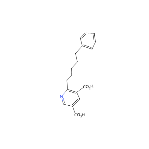 O=C(O)c1cnc(CCCCCc2ccccc2)c(C(=O)O)c1